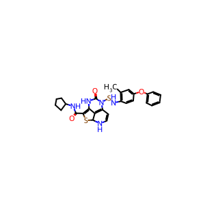 Cc1cc(Oc2ccccc2)ccc1NSN1C(=O)NC2=C(C(=O)NC3CCCC3)SC3NC=CC1=C23